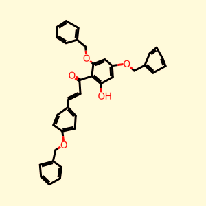 O=C(C=Cc1ccc(OCc2ccccc2)cc1)c1c(O)cc(OCc2ccccc2)cc1OCc1ccccc1